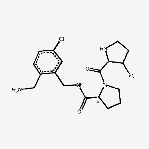 CCC1CCNC1C(=O)N1CCC[C@H]1C(=O)NCc1cc(Cl)ccc1CN